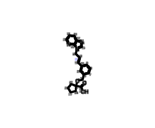 O=C(O)C1(OCc2cccc(/C=C/Cn3cnc4cccnc43)c2)CCCC1